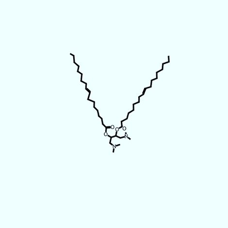 CCCCCCCCC=CCCCCCCCC(=O)OC(CN(C)C)C(CN(C)C)OC(=O)CCCCCCCC=CCCCCCCCC